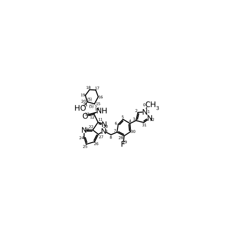 Cn1cc(-c2ccc(Cn3nc(C(=O)N[C@H]4CCCC[C@@H]4O)c4ncccc43)c(F)c2)cn1